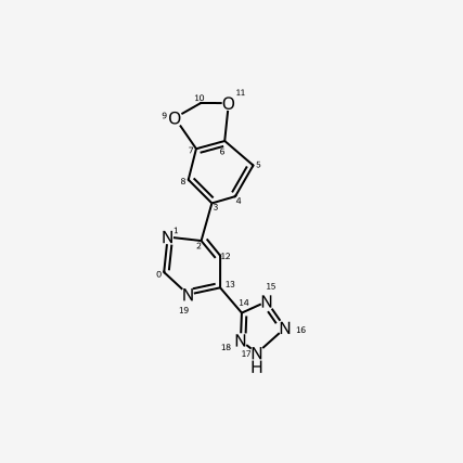 c1nc(-c2ccc3c(c2)OCO3)cc(-c2nn[nH]n2)n1